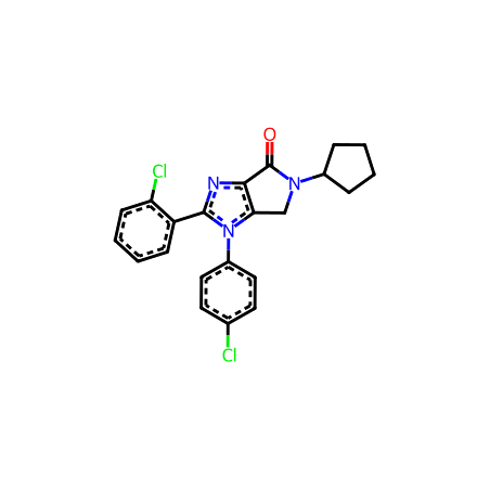 O=C1c2nc(-c3ccccc3Cl)n(-c3ccc(Cl)cc3)c2CN1C1CCCC1